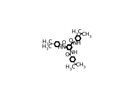 CC(C)[C@H]1CC[C@@H](NC(=O)c2cc(NC(=O)[C@H]3CC[C@@H](C(C)C)CC3)cc(NC(=O)[C@H]3CC[C@@H](C(C)C)CC3)c2)CC1